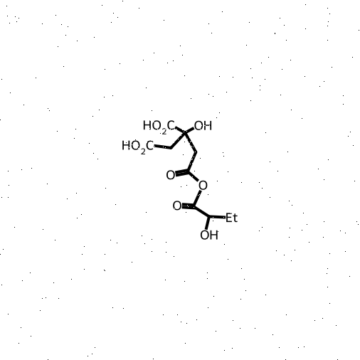 CCC(O)C(=O)OC(=O)CC(O)(CC(=O)O)C(=O)O